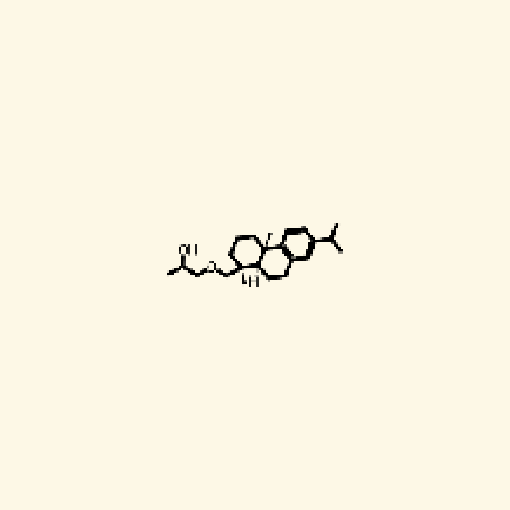 CC(O)COC[C@]1(C)CCC[C@]2(C)c3ccc(C(C)C)cc3CC[C@@H]12